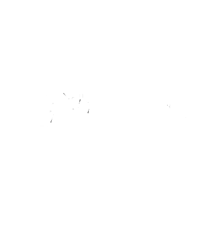 CN(C)CCCSC1CC[C@@]2(C)C(CC[C@@H]3[C@H]2CC[C@]2(C)C(c4ccoc4)CC[C@@]32O)C1